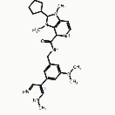 CN/C=C(\C=N)c1cc(CNC(=O)C2NC=CC3=C2N(C)C(C2CCCC2)N3C)cc(N(C)C)c1